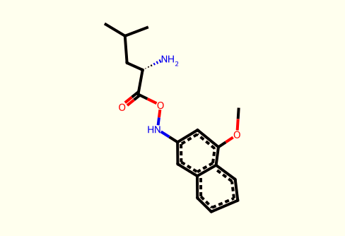 COc1cc(NOC(=O)[C@@H](N)CC(C)C)cc2ccccc12